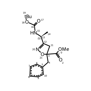 COC(=O)C1(Cc2ccccc2)CC([C@H](C)NC(=O)OC(C)(C)C)=NO1